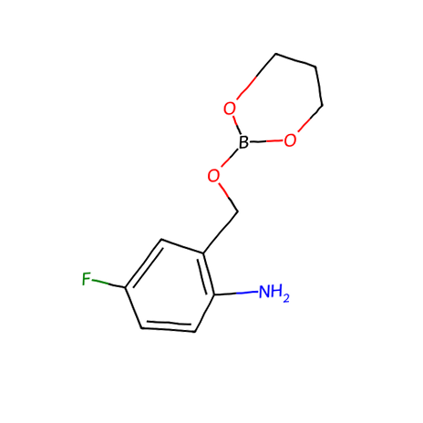 Nc1ccc(F)cc1COB1OCCCO1